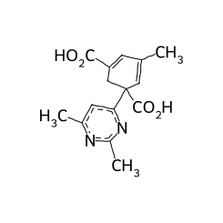 CC1=CC(C(=O)O)(c2cc(C)nc(C)n2)CC(C(=O)O)=C1